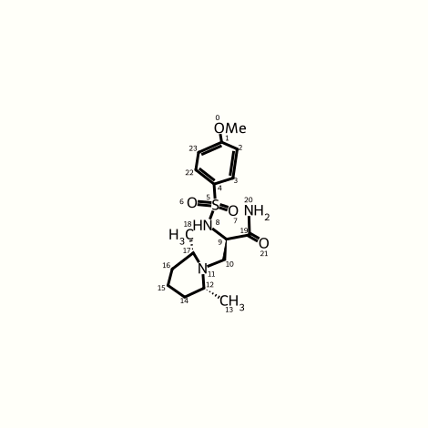 COc1ccc(S(=O)(=O)N[C@H](CN2[C@H](C)CCC[C@@H]2C)C(N)=O)cc1